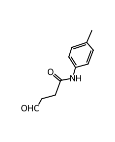 Cc1ccc(NC(=O)CCC=O)cc1